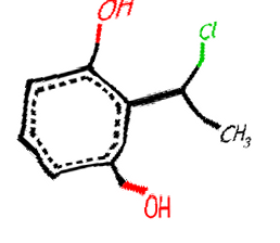 CC(Cl)c1c(O)cccc1O